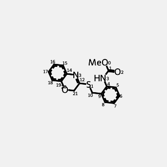 COC(=O)Nc1ccccc1CSC1=Nc2ccccc2OC1